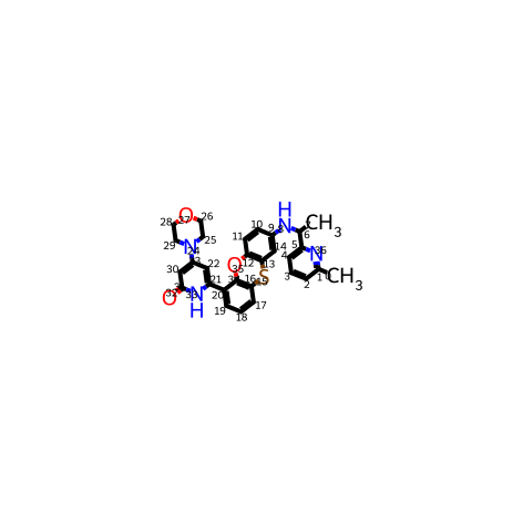 Cc1cccc(C(C)Nc2ccc3c(c2)Sc2cccc(-c4cc(N5CCOCC5)cc(=O)[nH]4)c2O3)n1